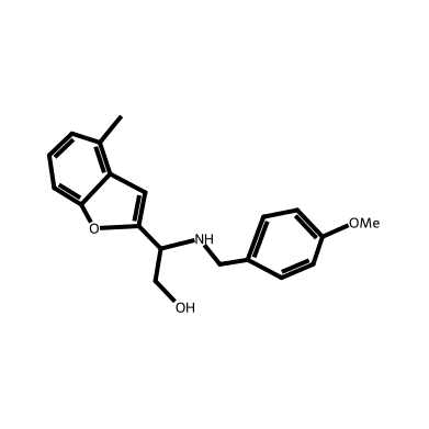 COc1ccc(CNC(CO)c2cc3c(C)cccc3o2)cc1